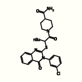 CCCCC(Sc1nc2ccccc2c(=O)n1-c1cccc(Cl)c1)C(=O)N1CCC(C(N)=O)CC1